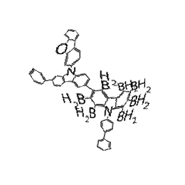 Bc1c(B)c(B)c2c(c1B)c1c(B)c(-c3ccc4c(c3)c3ccc(-c5ccccc5)cc3n4-c3ccc4c(c3)oc3ccccc34)c(B)c(B)c1n2-c1ccc(-c2ccccc2)cc1